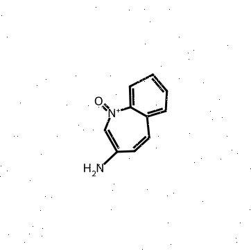 Nc1ccc2ccccc2[n+](=O)c1